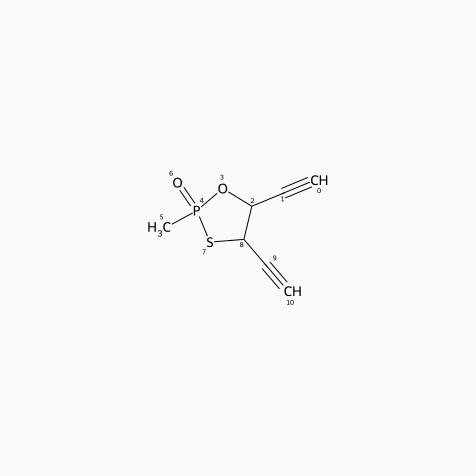 C#CC1OP(C)(=O)SC1C#C